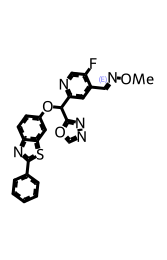 CO/N=C/c1cc(C(Oc2ccc3nc(-c4ccccc4)sc3c2)c2nnco2)ncc1F